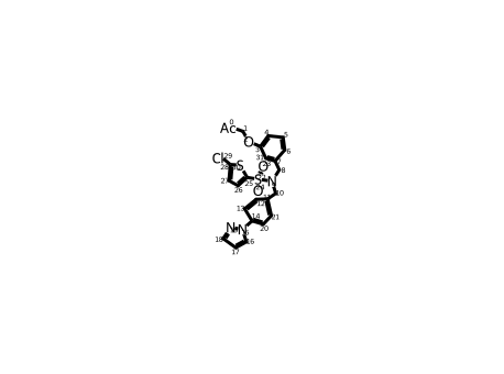 CC(=O)COc1cccc(CN(Cc2ccc(-n3cccn3)cc2)S(=O)(=O)c2ccc(Cl)s2)c1